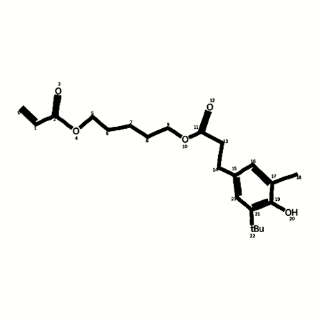 C=CC(=O)OCCCCCOC(=O)CCc1cc(C)c(O)c(C(C)(C)C)c1